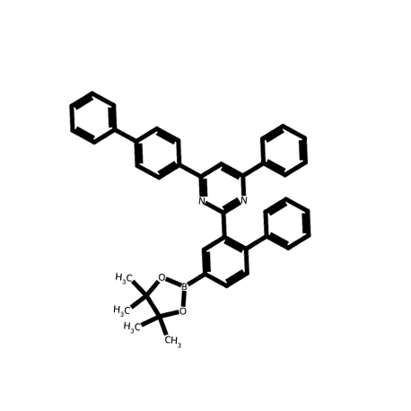 CC1(C)OB(c2ccc(-c3ccccc3)c(-c3nc(-c4ccccc4)cc(-c4ccc(-c5ccccc5)cc4)n3)c2)OC1(C)C